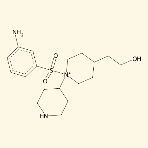 Nc1cccc(S(=O)(=O)[N+]2(C3CCNCC3)CCC(CCO)CC2)c1